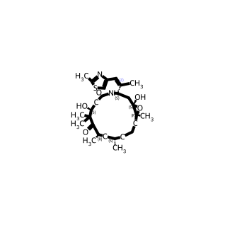 C/C(=C/c1csc(C)n1)[C@@H]1C[C@]2(O)O[C@]2(C)CCC[C@H](C)C[C@@H](C)C(=O)C(C)(C)[C@@H](O)CC(=O)N1